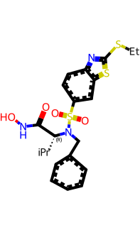 CCSc1nc2ccc(S(=O)(=O)N(Cc3ccccc3)[C@@H](C(=O)NO)C(C)C)cc2s1